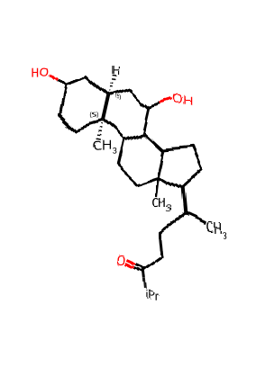 CC(C)C(=O)CCC(C)C1CCC2C3C(O)C[C@@H]4CC(O)CC[C@]4(C)C3CCC12C